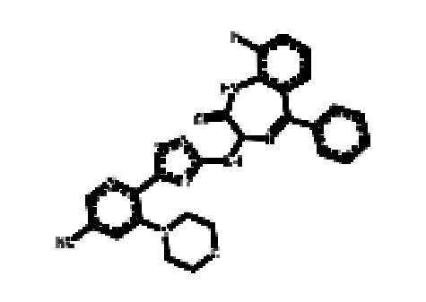 N#Cc1cnc(-c2nnc(NC3N=C(c4ccccc4)c4cccc(F)c4NC3=O)o2)c(N2CCOCC2)c1